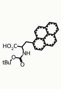 CC(C)(C)OC(=O)NC(Cc1ccc2ccc3cccc4ccc1c2c34)C(=O)O